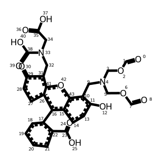 O=COCN(COC=O)Cc1c(O)ccc2c(-c3ccccc3C(=O)O)c3ccc(=O)c(CN(CC(=O)O)C(=O)O)c-3oc12